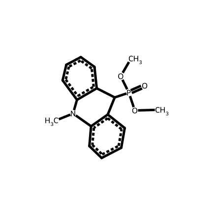 COP(=O)(OC)C1c2ccccc2N(C)c2ccccc21